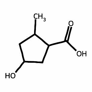 CC1CC(O)CC1C(=O)O